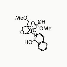 COCC12COC(C(N3C=Cc4ccccc4C3O)O1)C2OP(=O)(O)OC